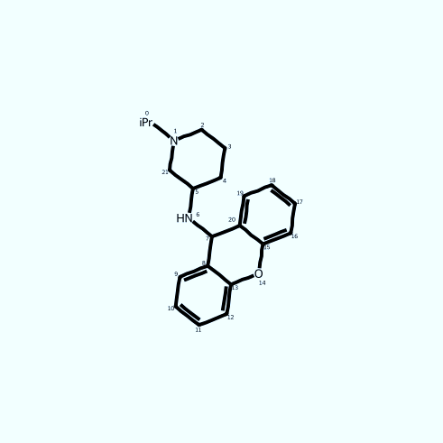 CC(C)N1CCCC(NC2c3ccccc3Oc3ccccc32)C1